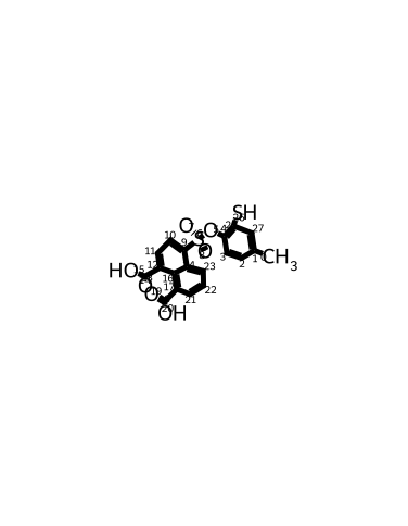 Cc1ccc(OS(=O)(=O)c2ccc(C(=O)O)c3c(C(=O)O)cccc23)c(S)c1